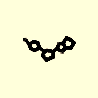 Clc1ccc(-c2cccc(-c3nc4ccccc4s3)c2)cc1